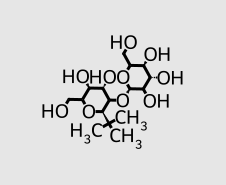 CC(C)(C)[C@H]1OC(CO)[C@@H](O)[C@H](O)C1O[C@H]1OC(CO)[C@@H](O)[C@H](O)C1O